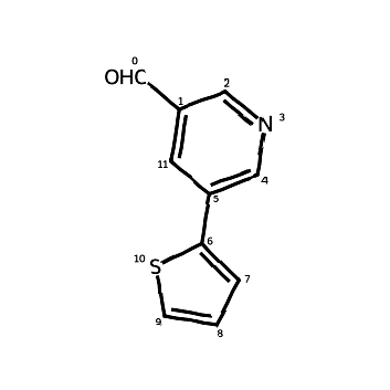 O=Cc1cncc(-c2cccs2)c1